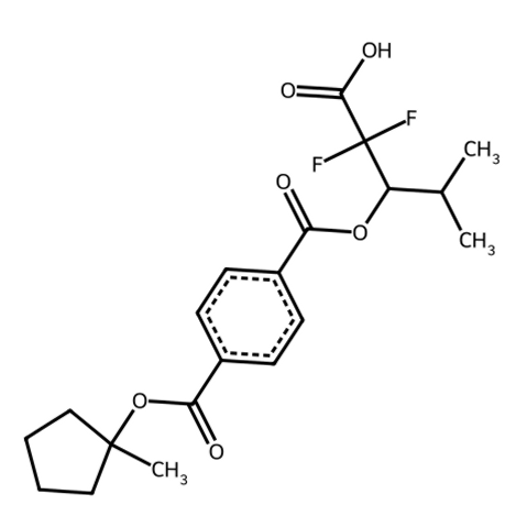 CC(C)C(OC(=O)c1ccc(C(=O)OC2(C)CCCC2)cc1)C(F)(F)C(=O)O